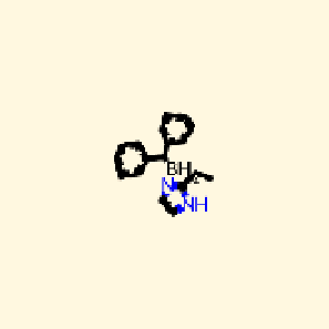 BC(c1ccccc1)c1ccccc1.CCc1ncc[nH]1